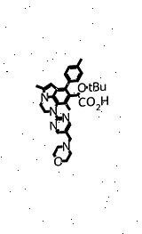 Cc1ccc(-c2c([C@H](OC(C)(C)C)C(=O)O)c(C)c3c4c2cc(C)n4CCN3c2ncc(CN3CCOCC3)cn2)cc1